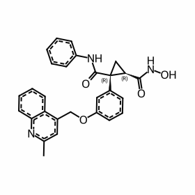 Cc1cc(COc2cccc([C@@]3(C(=O)Nc4ccccc4)C[C@H]3C(=O)NO)c2)c2ccccc2n1